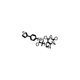 Cn1c(=O)c2c(ncn2C(C)(C)C(=O)Nc2ccc(-c3ccsc3)cc2)n(C)c1=O